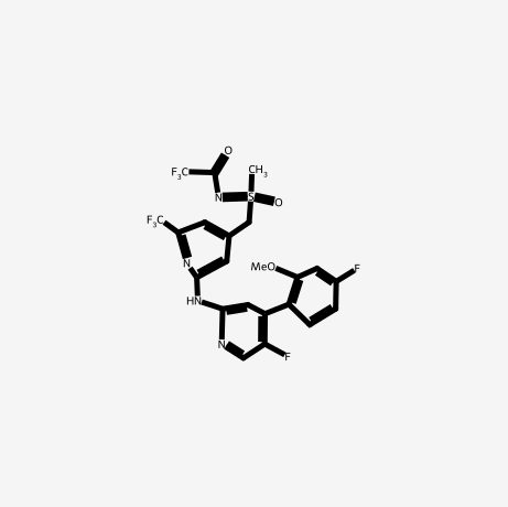 COc1cc(F)ccc1-c1cc(Nc2cc(CS(C)(=O)=NC(=O)C(F)(F)F)cc(C(F)(F)F)n2)ncc1F